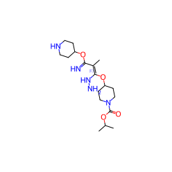 C/C(C(=N)OC1CCNCC1)=C(/NN)OC1CCN(C(=O)OC(C)C)CC1